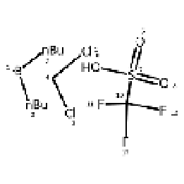 CCCC[B]CCCC.ClCCl.O=S(=O)(O)C(F)(F)F